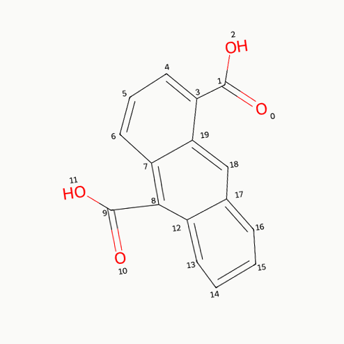 O=C(O)c1cccc2c(C(=O)O)c3ccccc3cc12